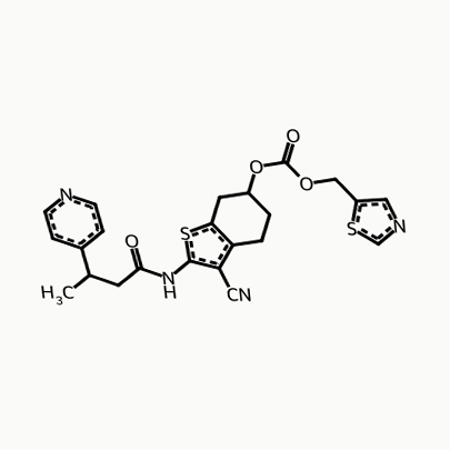 CC(CC(=O)Nc1sc2c(c1C#N)CCC(OC(=O)OCc1cncs1)C2)c1ccncc1